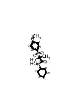 COc1ccc(S(=O)(=O)C(C)(C)C(=O)N(O)C2CCCCC2)cc1